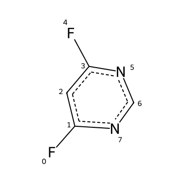 Fc1cc(F)ncn1